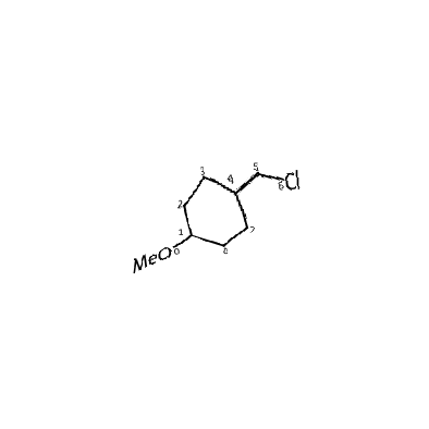 COC1CCC(CCl)CC1